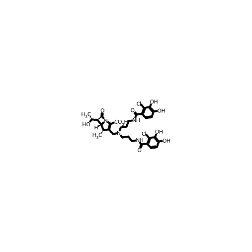 C[C@@H](O)[C@H]1C(=O)N2C(C(=O)O)=C(CN(CCCNC(=O)c3ccc(O)c(O)c3Cl)CCCNC(=O)c3ccc(O)c(O)c3Cl)[C@H](C)[C@H]12